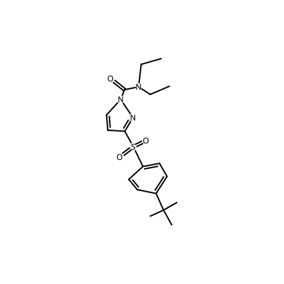 CCN(CC)C(=O)n1ccc(S(=O)(=O)c2ccc(C(C)(C)C)cc2)n1